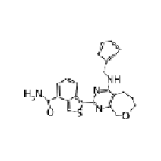 NC(=O)c1cccc2c(-c3nc4c(c(NCc5ccccc5)n3)CCCOC4)scc12